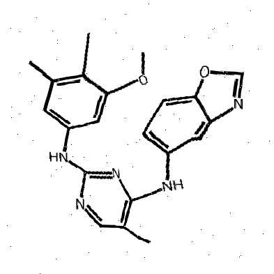 COc1cc(Nc2ncc(C)c(Nc3ccc4ocnc4c3)n2)cc(C)c1C